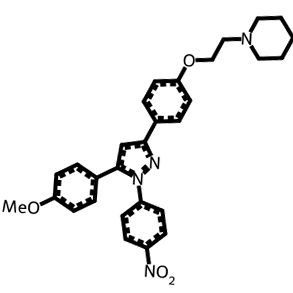 COc1ccc(-c2cc(-c3ccc(OCCN4CCCCC4)cc3)nn2-c2ccc([N+](=O)[O-])cc2)cc1